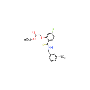 CCCCCCCCOC(=O)COc1cc(F)ccc1C(=S)NCc1cccc([N+](=O)[O-])c1